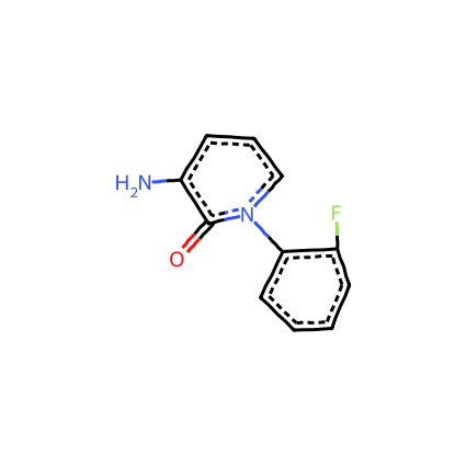 Nc1cccn(-c2ccccc2F)c1=O